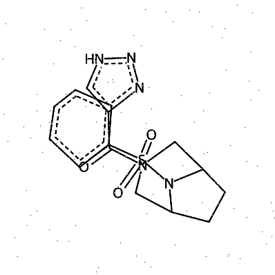 O=C(c1c[nH]nn1)N1CC2CCC(C1)N2S(=O)(=O)c1ccccc1